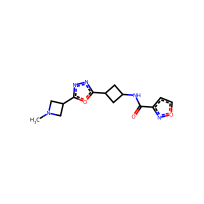 CN1CC(c2nnc(C3CC(NC(=O)c4ccon4)C3)o2)C1